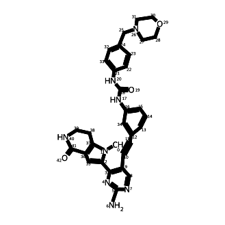 Cn1c(-c2nc(N)ncc2C#Cc2cccc(NC(=O)Nc3ccc(CN4CCOCC4)cc3)c2)cc2c1CCNC2=O